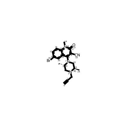 C#CCN1C[C@H](C)N(c2c(C#N)c(=O)n(C)c3ccc(Br)cc23)C[C@H]1C